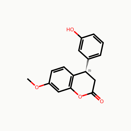 COc1ccc2c(c1)OC(=O)C[C@H]2c1cccc(O)c1